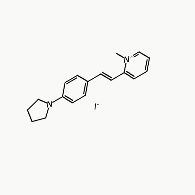 C[n+]1ccccc1C=Cc1ccc(N2CCCC2)cc1.[I-]